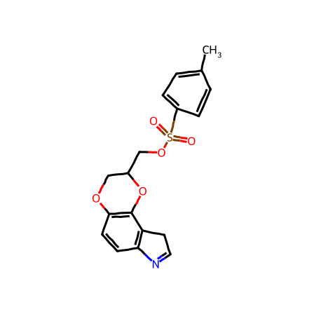 Cc1ccc(S(=O)(=O)OCC2COc3ccc4c(c3O2)CC=N4)cc1